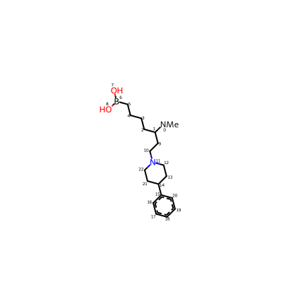 CNC(CCCCB(O)O)CCN1CCC(c2ccccc2)CC1